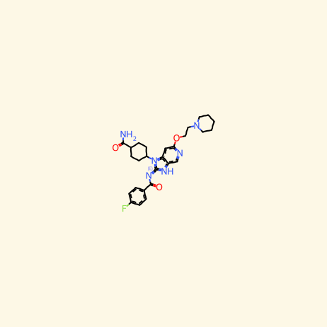 NC(=O)C1CCC(n2/c(=N/C(=O)c3ccc(F)cc3)[nH]c3cnc(OCCN4CCCCC4)cc32)CC1